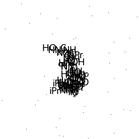 CC(C)C[C@H](NC(=O)[C@H](C)NC(=O)[C@H](CO)NC(=O)[C@H](CC(C)C)NC(=O)[C@@H](N)CC(C)C)C(=O)N[C@@H](CCC(N)=O)C(=O)N[C@@H](CC(C)C)C(=O)N[C@@H](Cc1ccccc1)C(=O)N[C@H](C(=O)N[C@@H](Cc1ccccc1)C(=O)NCC(=O)N[C@H](C(=O)N[C@@H](Cc1c[nH]c2ccccc12)C(=O)N[C@@H](CC(C)C)C(=O)N1CCC[C@H]1C(=O)N[C@@H](Cc1c[nH]cn1)C(=O)O)[C@@H](C)O)[C@@H](C)O